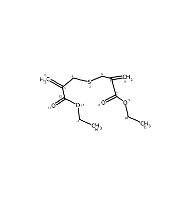 C=C(CSCC(=C)C(=O)OCC)C(=O)OCC